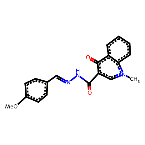 COc1ccc(/C=N/NC(=O)c2cn(C)c3ccccc3c2=O)cc1